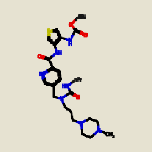 CCCNC(=O)N(CCCN1CCN(C)CC1)Cc1ccc(C(=O)Nc2cscc2NC(=O)OC(C)(C)C)nc1